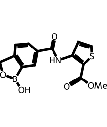 COC(=O)c1sccc1NC(=O)c1ccc2c(c1)B(O)OC2